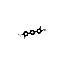 Pc1ccc(-c2ccc(-c3ccc(P)c(I)c3)cc2)cc1I